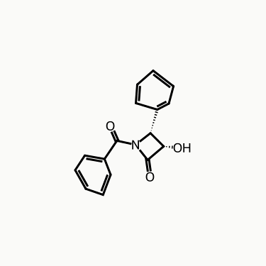 O=C(c1ccccc1)N1C(=O)[C@@H](O)[C@H]1c1ccccc1